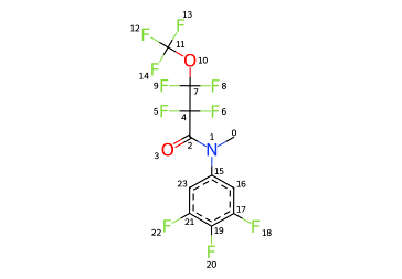 CN(C(=O)C(F)(F)C(F)(F)OC(F)(F)F)c1cc(F)c(F)c(F)c1